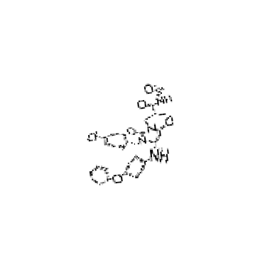 C[C@@H](Cn1c(=O)cc(Nc2ccc(Oc3ccccc3)cc2)n(Cc2ccc(Cl)cc2)c1=O)C(=O)N[S+](C)[O-]